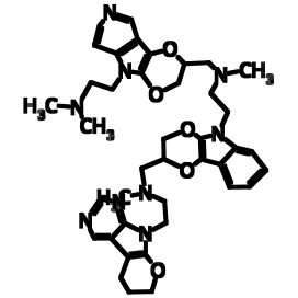 CN(C)CCn1c2c(c3cnccc31)OC(CN(C)CCn1c3c(c4ccccc41)OC(CN(C)CCn1c4c(c5cncnc51)CCCO4)CO3)CO2